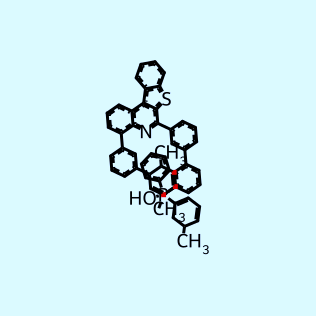 CC1C=CC=C(P(C)(O)(c2ccccc2)c2cccc(-c3cccc(-c4nc5c(-c6cccc(C7C=CC=CC7C)c6)cccc5c5c4sc4ccccc45)c3)c2)C1